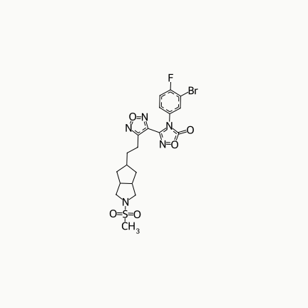 CS(=O)(=O)N1CC2CC(CCc3nonc3-c3noc(=O)n3-c3ccc(F)c(Br)c3)CC2C1